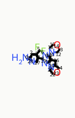 Nc1cc(C(F)F)c(-c2nc(N3CCOCC3)c3c(n2)N2CCOCC2C3)cn1